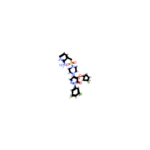 Nc1ncccc1CS(=O)(=O)N1CCN(c2cnn(-c3cc(F)cc(F)c3)c(=O)c2OC2CCC(F)C2)CC1